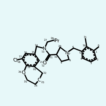 Cc1cccc(CN2CCC(C(=O)N(Cc3cc(Cl)c4c(c3)CCCCO4)CC(C)C)C2)c1C